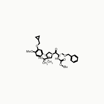 COc1ccc([C@@H]2CN(C(=O)[C@H](COCc3ccccc3)NC(=O)OC(C)(C)C)C[C@@]2(C)[C@@H](C)O)cc1OCC1CC1